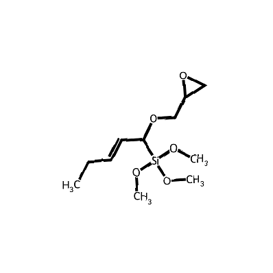 CCC=CC(OCC1CO1)[Si](OC)(OC)OC